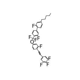 CCCCCc1ccc(-c2ccc(C(F)(F)Oc3ccc(C#Cc4cc(F)c(F)c(F)c4)c(F)c3)c(F)c2)c(F)c1